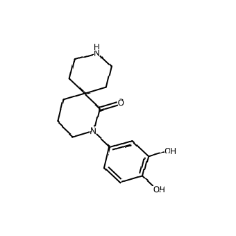 O=C1N(c2ccc(O)c(O)c2)CCCC12CCNCC2